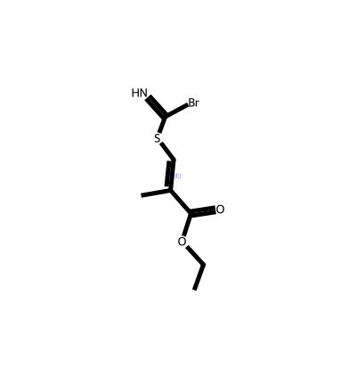 CCOC(=O)/C(C)=C/SC(=N)Br